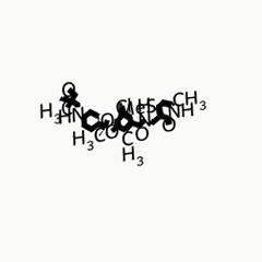 CSc1cc(C)[nH]c(=O)c1CNC(=O)c1cc(Cl)c2c(c1C)O[C@@](C)([C@H]1CC[C@H](NCC3(C)COC3)CC1)O2